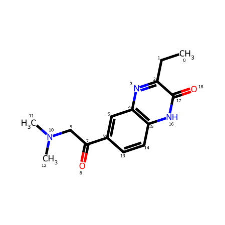 CCc1nc2cc(C(=O)CN(C)C)ccc2[nH]c1=O